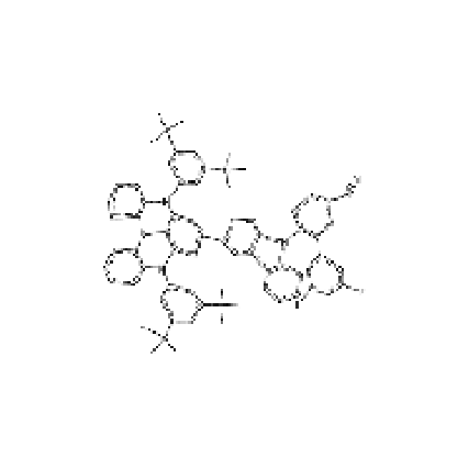 CC(C)(C)c1cc(N2c3ccccc3B3c4ccccc4N(c4cc(C(C)(C)C)cc(C(C)(C)C)c4)c4cc(-c5ccc6c(c5)c5ccccc5n6-c5ccc(C#N)cc5-c5cc(F)cc(F)c5)cc2c43)cc(C(C)(C)C)c1